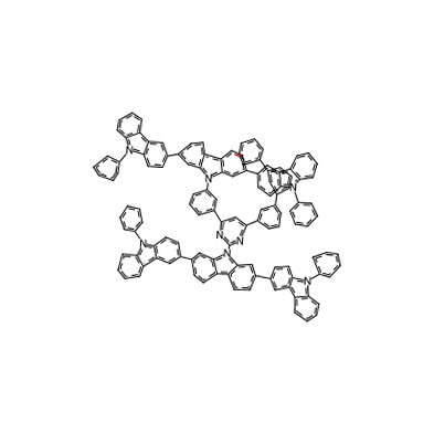 c1ccc(-c2cccc(-c3cccc(-c4cc(-c5cccc(-n6c7cc(-c8ccc9c(c8)c8ccccc8n9-c8ccccc8)ccc7c7ccc(-c8ccc9c(c8)c8ccccc8n9-c8ccccc8)cc76)c5)nc(-n5c6cc(-c7ccc8c(c7)c7ccccc7n8-c7ccccc7)ccc6c6ccc(-c7ccc8c(c7)c7ccccc7n8-c7ccccc7)cc65)n4)c3)c2)cc1